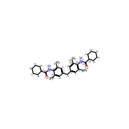 CC(C)c1cc(Cc2cc(C(C)C)c(NC(=O)C3CCCCC3)c(C(C)C)c2)cc(C(C)C)c1NC(=O)C1CCCCC1